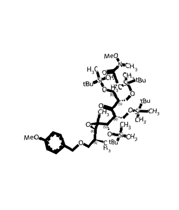 COc1ccc(COC[C@H](C)[C@H]2OC2(C)[C@@H](O[Si](C)(C)C(C)(C)C)[C@@H](CO[Si](C)(C)C(C)(C)C)C(=O)[C@@H](CO[Si](C)(C)C(C)(C)C)[C@@H](CC(=O)N(C)OC)O[Si](C)(C)C(C)(C)C)cc1